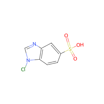 O=S(=O)(O)c1ccc2c(c1)ncn2Cl